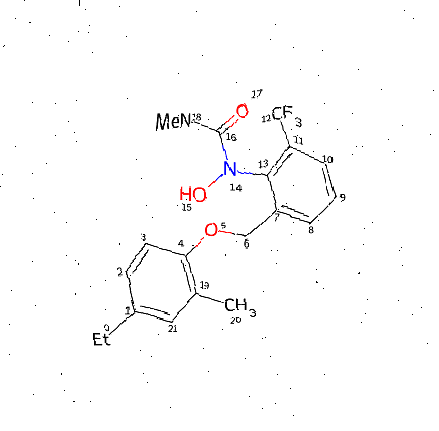 CCc1ccc(OCc2cccc(C(F)(F)F)c2N(O)C(=O)NC)c(C)c1